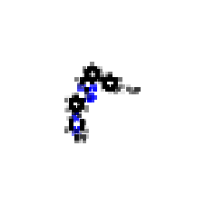 COc1ccc(-c2cccc3cnc(Nc4cccc(N5CCN(C(C)C)CC5)c4)nc23)cc1